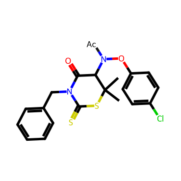 CC(=O)N(Oc1ccc(Cl)cc1)C1C(=O)N(Cc2ccccc2)C(=S)SC1(C)C